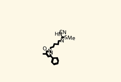 CSC(=NCCCCCn1nc(-c2ccccc2)cc(C)c1=O)NC#N